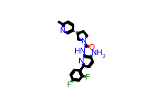 Cc1ccc([C@@H]2CCN(C(=O)Nc3nc(-c4ccc(F)cc4F)ccc3N)C2)cn1